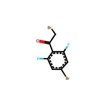 O=C(CBr)c1c(F)cc(Br)cc1F